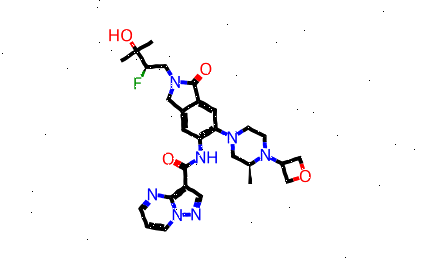 C[C@H]1CN(c2cc3c(cc2NC(=O)c2cnn4cccnc24)CN(C[C@@H](F)C(C)(C)O)C3=O)CCN1C1COC1